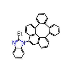 CCc1nc2ccccc2n1-c1cc2cccc3c4ccccc4c4ccccc4c4cccc1c4c23